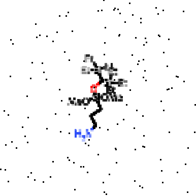 CC[Si](CC)(CC)C(O[Si](CCCN)(OC)OC)[Si](CC)(CC)CC